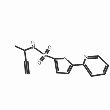 C#CC(C)NS(=O)(=O)c1ccc(-c2ccccn2)s1